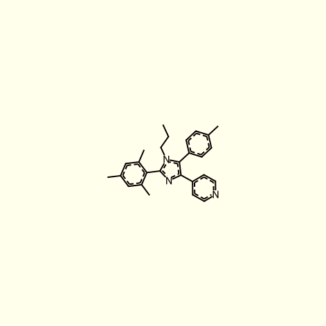 CCCn1c(-c2c(C)cc(C)cc2C)nc(-c2ccncc2)c1-c1ccc(C)cc1